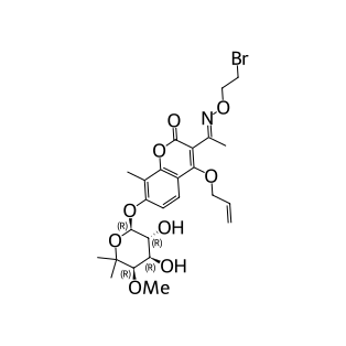 C=CCOc1c(C(C)=NOCCBr)c(=O)oc2c(C)c(O[C@@H]3OC(C)(C)[C@H](OC)[C@H](O)[C@H]3O)ccc12